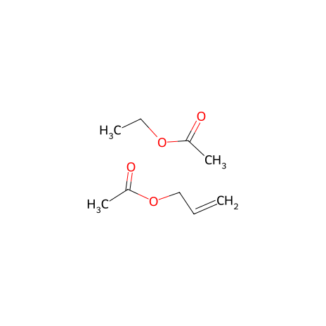 C=CCOC(C)=O.CCOC(C)=O